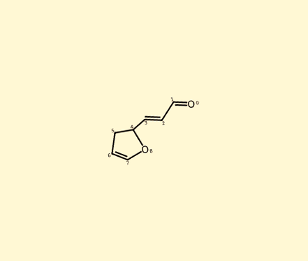 O=C/C=C/C1CC=CO1